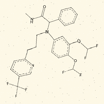 CNC(=O)C(c1ccccc1)N(CCCc1ccc(C(F)(F)F)cn1)c1ccc(OC(F)F)c(OC(F)F)c1